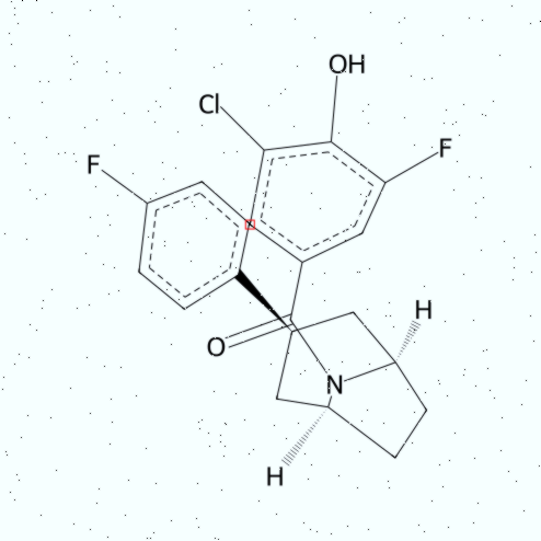 O=C(c1cc(F)c(O)c(Cl)c1)N1[C@@H]2CC[C@H]1C[C@@H](c1ccc(F)cc1)C2